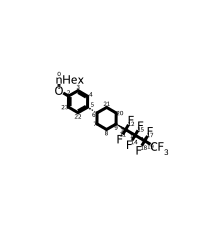 CCCCCCOc1ccc([C@H]2CC[C@H](C(F)(F)C(F)(F)C(F)(F)C(F)(F)F)CC2)cc1